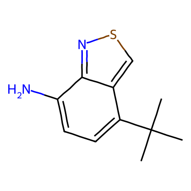 CC(C)(C)c1ccc(N)c2nscc12